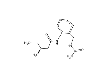 CC[C@H](C)CC(=O)Nc1ccccc1CNC(N)=O